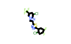 Fc1cc(Cl)c(-c2nnc(-c3cn4cc(C(F)(F)F)cc(Cl)c4n3)s2)cc1F